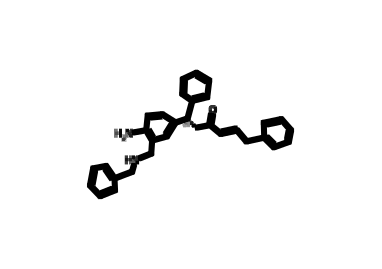 Nc1ccc([C@@H](CC(=O)C=CCc2ccccc2)c2ccccc2)cc1CNCc1ccccc1